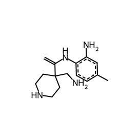 C=C(Nc1ccc(C)cc1N)C1(CN)CCNCC1